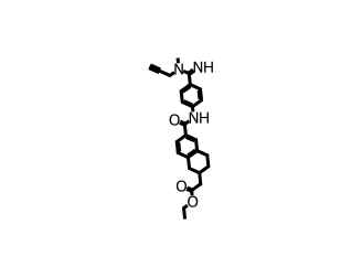 C#CCN(C)C(=N)c1ccc(NC(=O)c2ccc3c(c2)CCC(CC(=O)OCC)C3)cc1